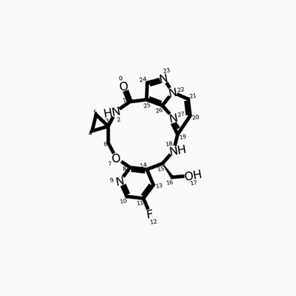 O=C1NC2(CC2)COc2ncc(F)cc2[C@H](CO)Nc2ccn3ncc1c3n2